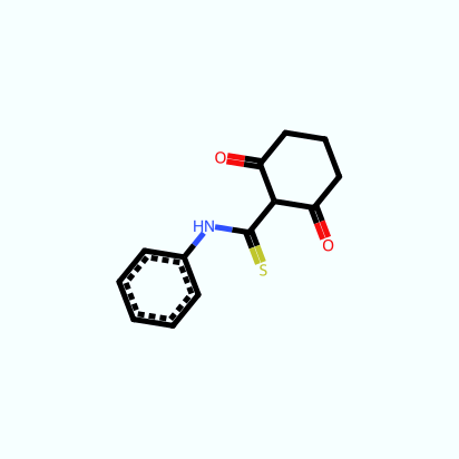 O=C1CCCC(=O)C1C(=S)Nc1ccccc1